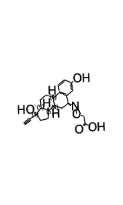 C#C[C@]1(O)CC[C@H]2[C@@H]3CC(=NOCC(=O)O)c4cc(O)ccc4[C@H]3CC[C@@]21C